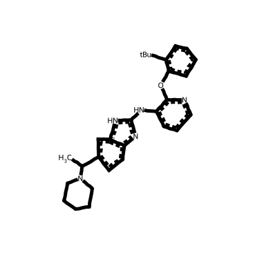 CC(c1ccc2nc(Nc3cccnc3Oc3ccccc3C(C)(C)C)[nH]c2c1)N1CCCCC1